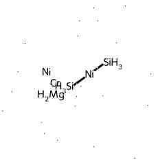 [Cr].[MgH2].[Ni].[SiH3][Ni][SiH3]